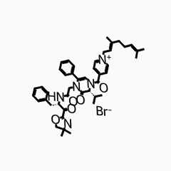 CC(C)=CCC/C(C)=C/C[n+]1ccc(C(=O)N2C=C(c3ccccc3)N(CC(=O)N[C@@H](Cc3ccccc3)C(=O)C3=NC(C)(C)CO3)C(=O)[C@H]2C(C)C)cc1.[Br-]